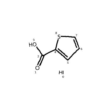 I.O=C(O)c1cccs1